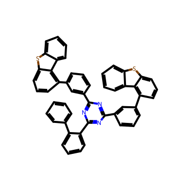 c1ccc(-c2ccccc2-c2nc(-c3cccc(-c4cccc5sc6ccccc6c45)c3)nc(-c3cccc(-c4cccc5sc6ccccc6c45)c3)n2)cc1